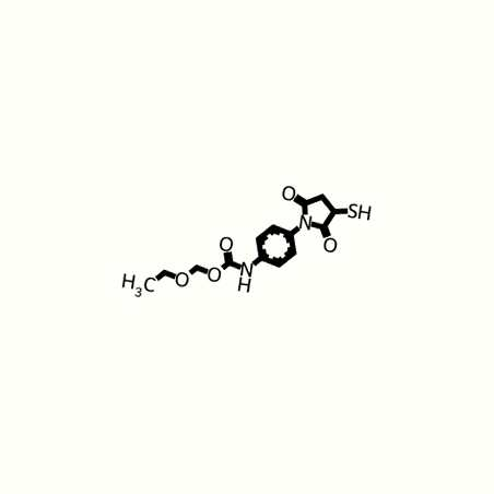 CCOCOC(=O)Nc1ccc(N2C(=O)CC(S)C2=O)cc1